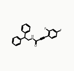 O=C(C#Cc1ccc(F)cc1F)NCC(c1ccccc1)c1ccccc1